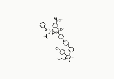 CCCCn1c(C)c(C)c(-c2cccc(N3CCN(c4ccc(N[S+]([O-])c5cc([N+](=O)[O-])ccc5NC(CCN(C)C)CSc5ccccc5)cc4)CC3)c2)c1-c1ccc(Cl)cc1